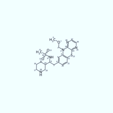 COCN1c2cc(CC(NS(C)(=O)=O)[C]3[CH]CCNC3)ccc2Sc2nccnc21